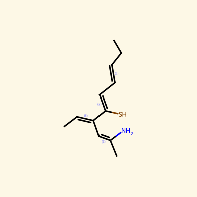 C/C=C(\C=C(\C)N)C(/S)=C/C=C/CC